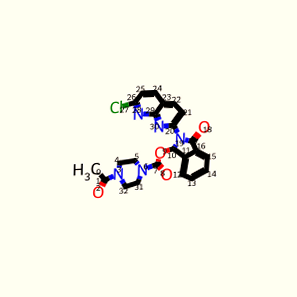 CC(=O)N1CCN(C(=O)OC2c3ccccc3C(=O)N2c2ccc3ccc(Cl)nc3n2)CC1